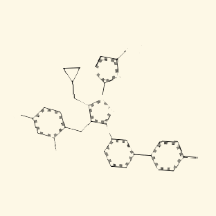 CCOC(=O)c1csc(-n2nc(-c3cccc(-c4ccc(C)cc4)c3)c(Cc3ccc(C)cc3F)c2CC2CC2)n1